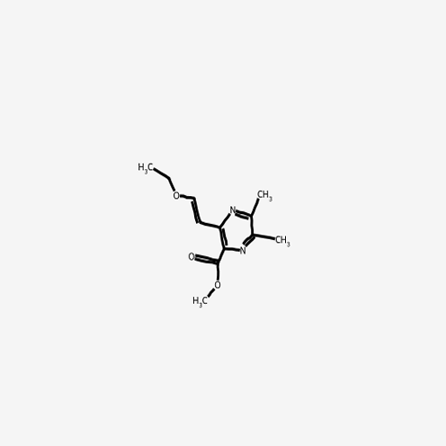 CCOC=Cc1nc(C)c(C)nc1C(=O)OC